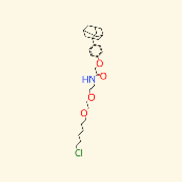 O=C(COc1ccc(C23CC4CC(CC(C4)C2)C3)cc1)NCCOCCOCCCCCCCl